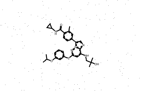 Cc1cc(-c2cnc3c(NCC(C)(C)O)cc(Sc4cccc(OC(C)C)c4)nn23)ccc1C(=O)NC1CC1